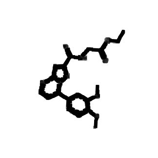 CCOC(=O)CNC(=O)c1cc2nccc(-c3ccc(OC)c(OC)c3)n2n1